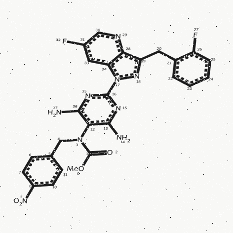 COC(=O)N(Cc1ccc([N+](=O)[O-])cc1)c1c(N)nc(-n2nc(Cc3ccccc3F)c3ncc(F)cc32)nc1N